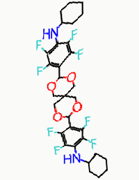 Fc1c(F)c(C2OCC3(CO2)COC(c2c(F)c(F)c(NC4CCCCC4)c(F)c2F)OC3)c(F)c(F)c1NC1CCCCC1